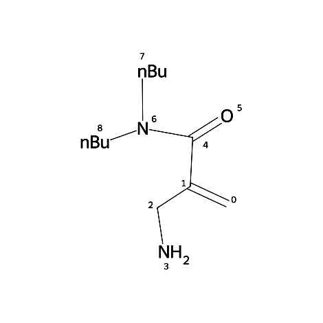 C=C(CN)C(=O)N(CCCC)CCCC